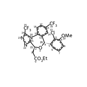 CCOC(=O)C[C@@H]1O[C@@H](c2cccc(OC)c2Cl)c2cc(C(F)(F)F)ccc2-n2c1nnc2C(F)(F)F